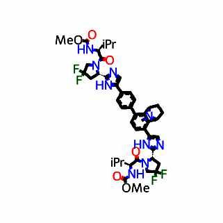 COC(=O)N[C@H](C(=O)N1CC(F)(F)C[C@H]1c1ncc(-c2ccc(-c3ccc(-c4cnc([C@@H]5CC(F)(F)CN5C(=O)[C@@H](NC(=O)OC)C(C)C)[nH]4)c4c3C3CCC4N3C)cc2)[nH]1)C(C)C